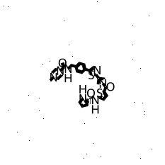 CN1CCN(C(=O)NCc2ccc(-c3cnc(C4CN(C(=O)c5ccc(NC(=O)[C@@H]6CCCN6)s5)C4)s3)cc2)CC1